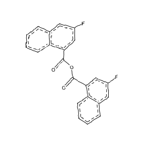 O=C(OC(=O)c1cc(F)cc2ccccc12)c1cc(F)cc2ccccc12